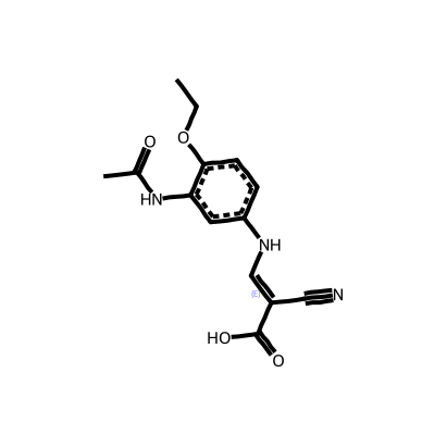 CCOc1ccc(N/C=C(\C#N)C(=O)O)cc1NC(C)=O